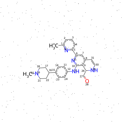 Cc1cccc(-c2cc3c(c(Nc4ccc(C5CCN(C)CC5)cc4)n2)C(C=O)NC=C3)n1